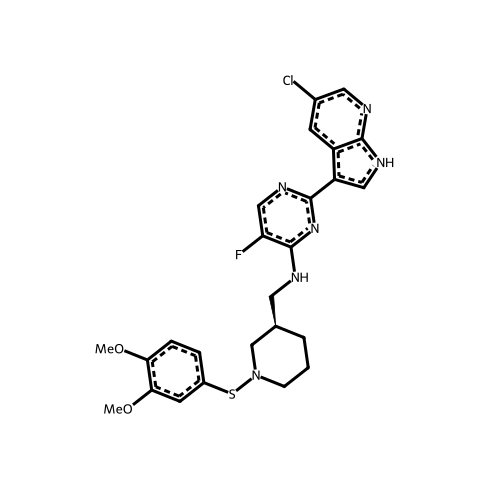 COc1ccc(SN2CCC[C@H](CNc3nc(-c4c[nH]c5ncc(Cl)cc45)ncc3F)C2)cc1OC